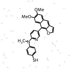 COc1cc2cc3ccoc3c(-c3ccc(N(C)c4ccc(S)cc4)nc3)c2cc1OC